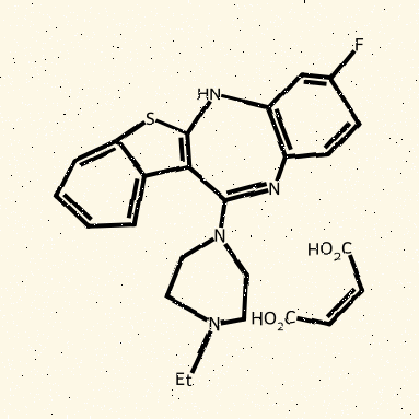 CCN1CCN(C2=Nc3ccc(F)cc3Nc3sc4ccccc4c32)CC1.O=C(O)/C=C\C(=O)O